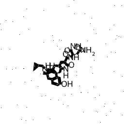 NC(=O)C[C@H](NC(=O)c1cc2c([nH]c1=O)C[C@]13CC4(Cc5ccc(O)cc51)CN(CC1CC1)[C@H]4[C@@H]3C2)C(N)=O